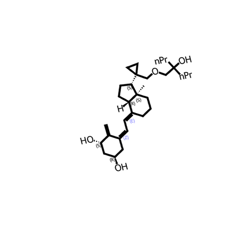 C=C1/C(=C\C=C2/CCC[C@]3(C)[C@@H](C4(COCC(O)(CCC)CCC)CC4)CC[C@@H]23)C[C@@H](O)C[C@@H]1O